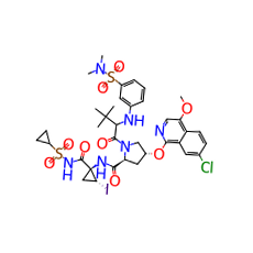 COc1cnc(O[C@@H]2C[C@@H](C(=O)N[C@]3(C(=O)NS(=O)(=O)C4CC4)C[C@H]3I)N(C(=O)C(Nc3cccc(S(=O)(=O)N(C)C)c3)C(C)(C)C)C2)c2cc(Cl)ccc12